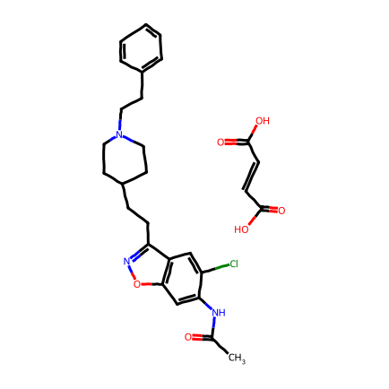 CC(=O)Nc1cc2onc(CCC3CCN(CCc4ccccc4)CC3)c2cc1Cl.O=C(O)/C=C/C(=O)O